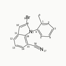 Cc1ccccc1-n1c(Br)cc2cccc(C#N)c21